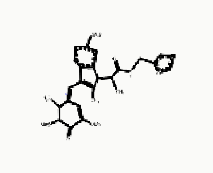 COC1=C/C(=C\C2=C(C)C(C(C)C(=O)NCc3ccco3)c3cc(OC)ccc32)C(C)C(OC)C1=O